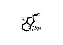 Cl.O=CN1C[C@@H]2CCCN[C@@H]2C1